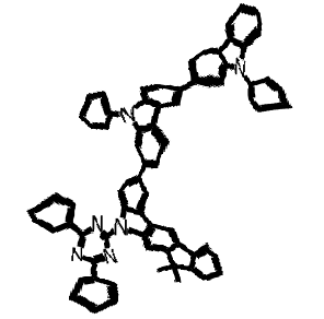 CC1(C)c2ccccc2-c2cc3c4cc(-c5ccc6c7cc(C8=CC=c9c(n(-c%10ccccc%10)c%10ccccc9%10)=CC8)ccc7n(-c7ccccc7)c6c5)ccc4n(-c4nc(-c5ccccc5)nc(-c5ccccc5)n4)c3cc21